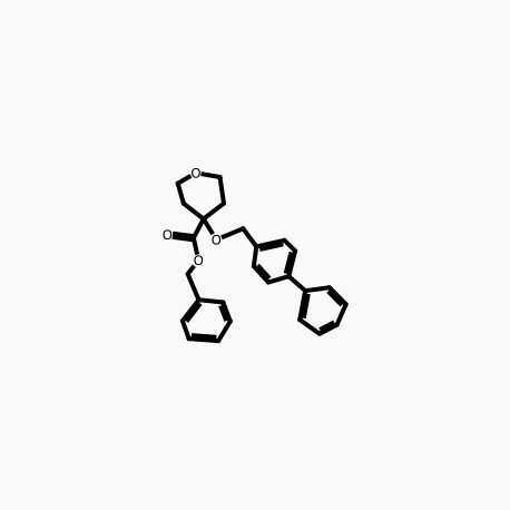 O=C(OCc1ccccc1)C1(OCc2ccc(-c3ccccc3)cc2)CCOCC1